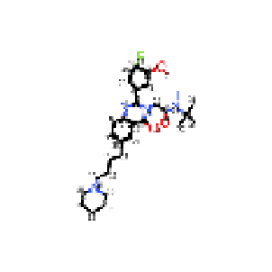 COc1cc(-c2nc3ccc(CCCCN4CCCCC4)cc3c(=O)n2CC(=O)NC(C)(C)C)ccc1F